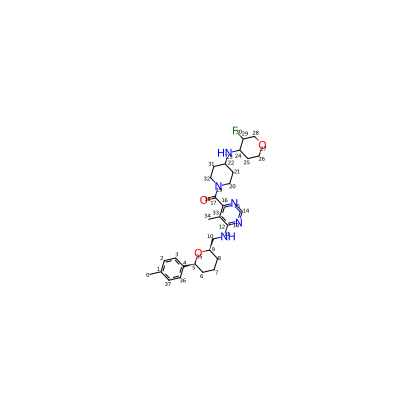 Cc1ccc([C@@H]2CCC[C@H](CNc3ncnc(C(=O)N4CCC(NC5CCOCC5F)CC4)c3C)O2)cc1